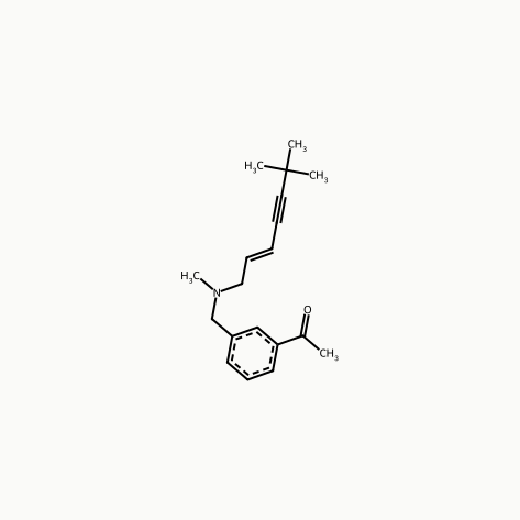 CC(=O)c1cccc(CN(C)CC=CC#CC(C)(C)C)c1